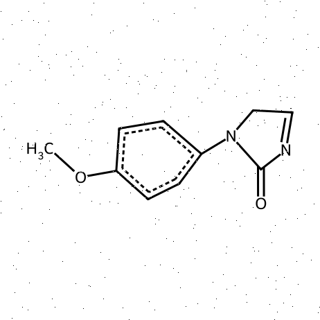 COc1ccc(N2CC=NC2=O)cc1